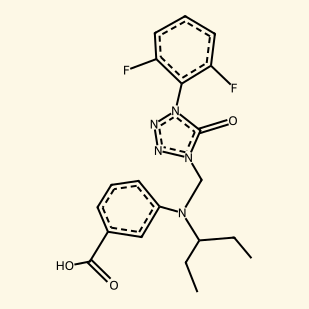 CCC(CC)N(Cn1nnn(-c2c(F)cccc2F)c1=O)c1cccc(C(=O)O)c1